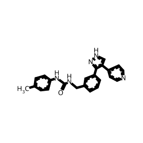 Cc1ccc(NC(=O)NCc2cccc(-c3n[nH]cc3-c3ccncc3)c2)cc1